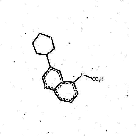 O=C(O)Oc1cccc2ncc(C3CCCCC3)cc12